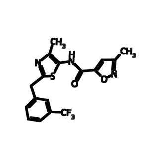 Cc1cc(C(=O)Nc2sc(Cc3cccc(C(F)(F)F)c3)nc2C)on1